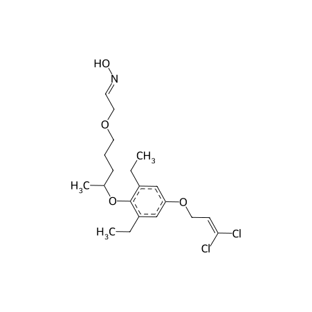 CCc1cc(OCC=C(Cl)Cl)cc(CC)c1OC(C)CCCOCC=NO